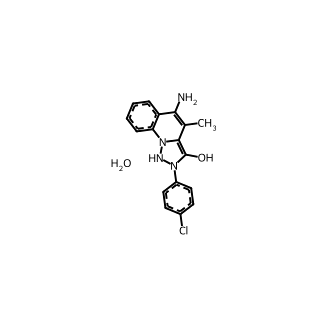 CC1=C(N)c2ccccc2N2NN(c3ccc(Cl)cc3)C(O)=C12.O